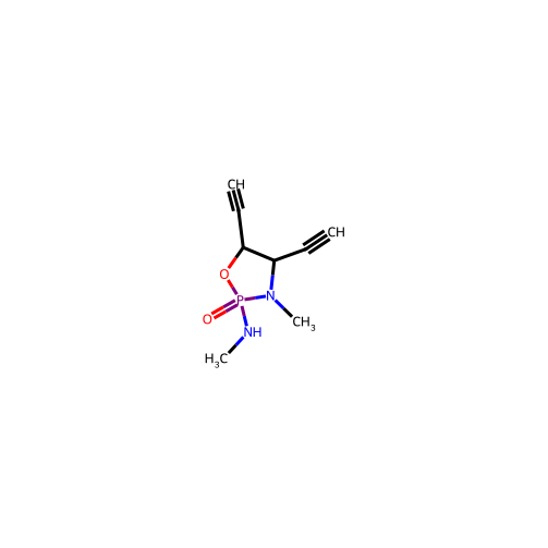 C#CC1OP(=O)(NC)N(C)C1C#C